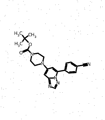 CC(C)(C)OC(=O)N1CCN(c2cc(-c3ccc(C#N)cc3)n3ncnc3c2)CC1